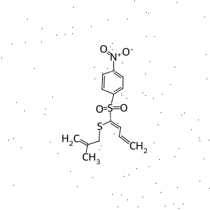 C=C/C=C(\SCC(=C)C)S(=O)(=O)c1ccc([N+](=O)[O-])cc1